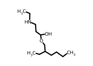 CCCCC(CC)COC(O)CCNCC